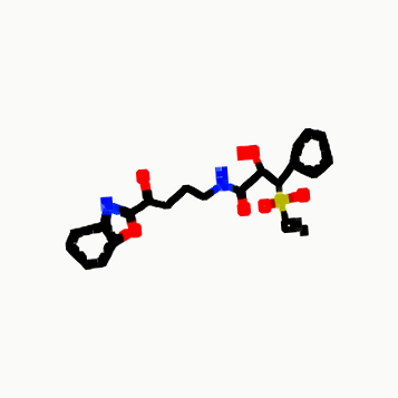 CS(=O)(=O)C(c1ccccc1)C(O)C(=O)NCCCC(=O)c1nc2ccccc2o1